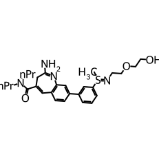 CCCN(CCC)C(=O)C1=Cc2ccc(-c3cccc(/S(C)=N/CCOCCO)c3)cc2N=C(N)C1